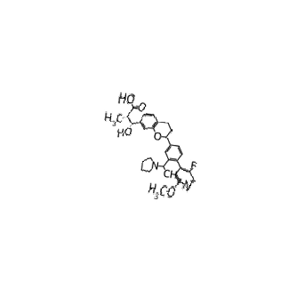 COc1cc(-c2ccc(C3CCc4ccc([C@H](O)[C@H](C)C(=O)O)cc4O3)cc2C(C)N2CCCC2)c(F)cn1